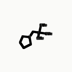 CO[Si](CN1CCCC1)(OC)OC